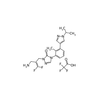 Cc1c(-c2cnn(C(C)C)c2)cccc1-n1cnn(CC(CN)=C(F)F)c1=O.O=C(O)C(F)(F)F